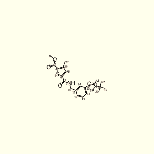 COC(=O)c1sc(C(=O)NCc2cccc(O[Si](C)(C)C(C)(C)C)c2)cc1C